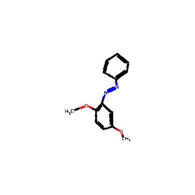 COc1ccc(OC)c(N=Nc2ccccc2)c1